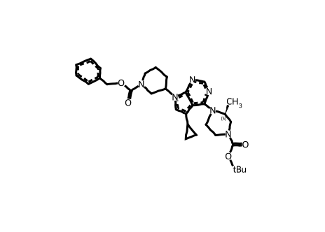 C[C@H]1CN(C(=O)OC(C)(C)C)CCN1c1ncnc2c1c(C1CC1)cn2C1CCCN(C(=O)OCc2ccccc2)C1